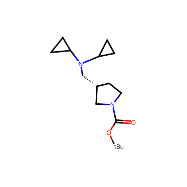 CC(C)(C)OC(=O)N1CC[C@@H](CN(C2CC2)C2CC2)C1